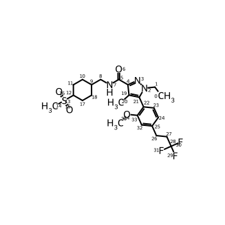 CCn1nc(C(=O)NCC2CCC(S(C)(=O)=O)CC2)c(C)c1-c1ccc(CCC(F)(F)F)cc1OC